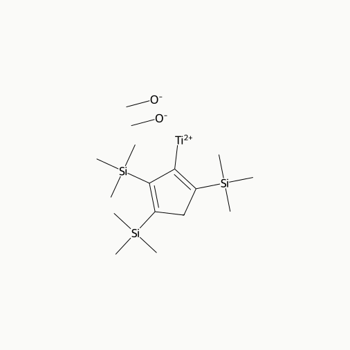 C[O-].C[O-].C[Si](C)(C)C1=[C]([Ti+2])C([Si](C)(C)C)=C([Si](C)(C)C)C1